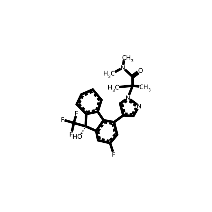 CN(C)C(=O)C(C)(C)n1cc(-c2cc(F)cc3c2-c2ccccc2[C@]3(O)C(F)(F)F)cn1